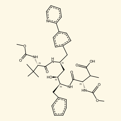 COC(=O)N[C@H](C(=O)N[C@@H](Cc1ccccc1)[C@@H](O)C[C@H](Cc1ccc(-c2ccccn2)cc1)NC(=O)[C@@H](NC(=O)OC)C(C)(C)C)C(C)C(=O)O